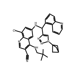 CC(C)(C)CNc1c(C#N)cnc2c(Cl)cc(NC(c3cn(C45CC(C4)C5)nn3)c3cccc4ncccc34)cc12